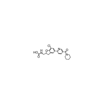 O=C(O)NCC1Cc2cc(-c3ccc(C(=O)N4CCCCC4)cn3)cc(Cl)c2O1